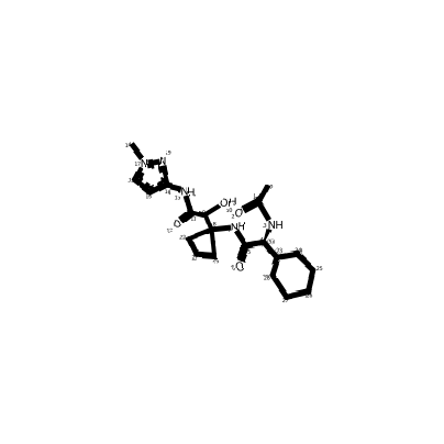 CC(=O)N[C@H](C(=O)NC1(C(O)C(=O)Nc2ccn(C)n2)CCC1)C1CCCCC1